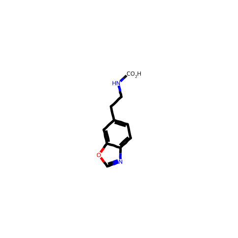 O=C(O)NCCc1ccc2ncoc2c1